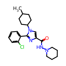 CC1CCC(n2cc(C(=O)NN3CCCCC3)nc2-c2ccccc2Cl)CC1